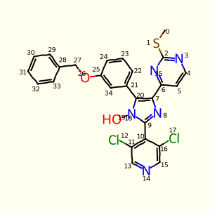 CSc1nccc(-c2nc(-c3c(Cl)cncc3Cl)n(O)c2-c2cccc(OCc3ccccc3)c2)n1